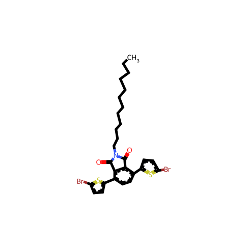 CCCCCCCCCCCCN1C(=O)c2c(-c3ccc(Br)s3)ccc(-c3ccc(Br)s3)c2C1=O